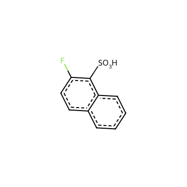 O=S(=O)(O)c1c(F)ccc2ccccc12